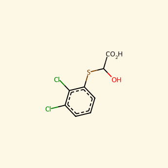 O=C(O)C(O)Sc1cccc(Cl)c1Cl